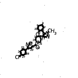 Cn1ncc2c1-c1ccccc1OC21CCN(C(=O)c2cc(-c3ccc(Cl)cc3)no2)CC1